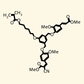 C=C(C)C(=O)OCCCCCCOc1cc(COc2ccc(C=CC(=O)OC)cc2OC)cc(COc2ccc(C=C(C#N)C(=O)OC)cc2OC)c1